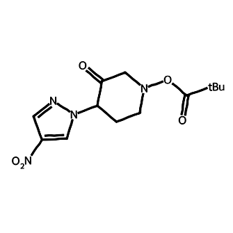 CC(C)(C)C(=O)ON1CCC(n2cc([N+](=O)[O-])cn2)C(=O)C1